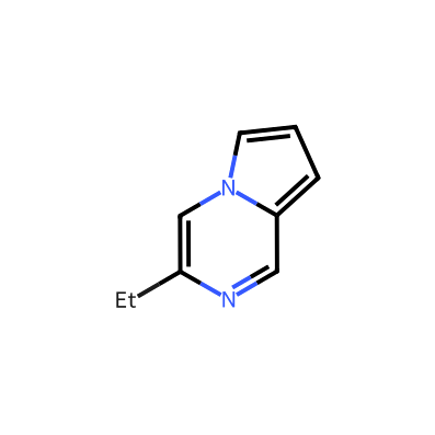 [CH2]Cc1cn2cccc2cn1